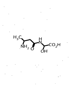 CC(N)CC(=O)NC(O)C(=O)O